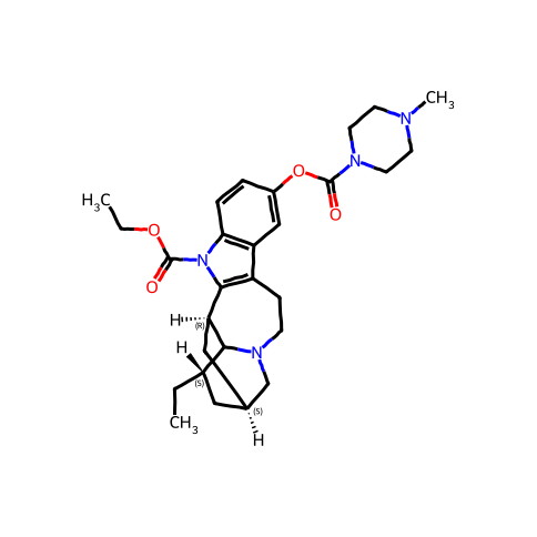 CCOC(=O)n1c2c(c3cc(OC(=O)N4CCN(C)CC4)ccc31)CCN1C[C@H]3C[C@H](CC)C1[C@H]2C3